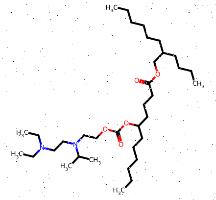 CCCCCCC(CCCC)COC(=O)CCCC(CCCCCC)OC(=O)OCCN(CCN(CC)CC)C(C)C